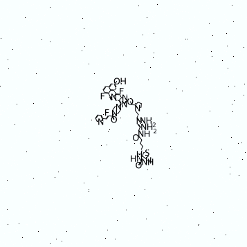 C#Cc1c(F)ccc2cc(O)cc(-c3ncc4c(N5CCN(C(=O)/C(F)=C/c6ccccn6)CC5)nc(OCC5CCCN5CCCN(N)/C=C(\N)CNC(=O)CCCC[C@@H]5SC[C@@H]6NC(=O)N[C@@H]65)nc4c3F)c12